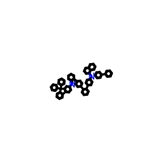 c1ccc(-c2ccc(N(c3ccc(-c4ccccc4-c4ccc5c6ccccc6n(-c6ccc7c(c6)C(c6ccccc6)(c6ccccc6)c6ccccc6-7)c5c4)cc3)c3cccc4ccccc34)cc2)cc1